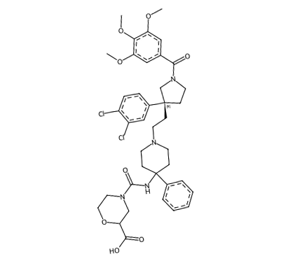 COc1cc(C(=O)N2CC[C@](CCN3CCC(NC(=O)N4CCOC(C(=O)O)C4)(c4ccccc4)CC3)(c3ccc(Cl)c(Cl)c3)C2)cc(OC)c1OC